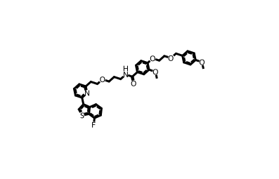 COc1ccc(COCCOc2ccc(C(=O)NCCCOCCc3cccc(-c4csc5c(F)cccc45)n3)cc2OC)cc1